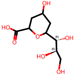 O=C(O)C1CC(O)CC([C@H](O)[C@H](O)CO)O1